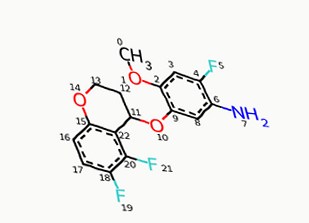 COc1cc(F)c(N)cc1OC1CCOc2ccc(F)c(F)c21